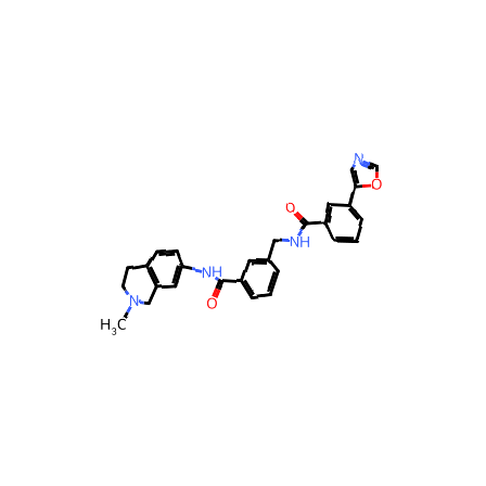 CN1CCc2ccc(NC(=O)c3cccc(CNC(=O)c4cccc(-c5cnco5)c4)c3)cc2C1